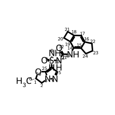 C[C@H]1Cn2ncc([SH](N)(=O)NC(=O)Nc3c4c(cc5c3CC5)CCC4)c2O1